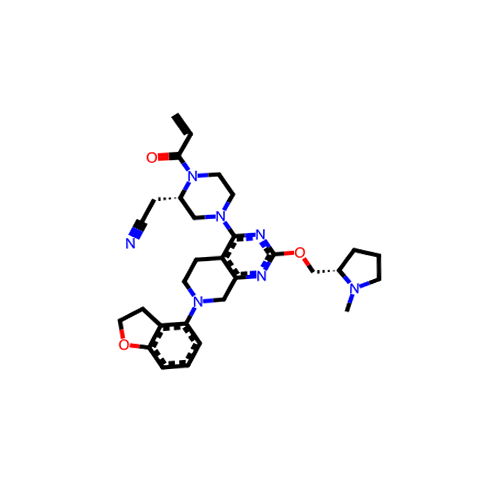 C=CC(=O)N1CCN(c2nc(OC[C@@H]3CCCN3C)nc3c2CCN(c2cccc4c2CCO4)C3)C[C@@H]1CC#N